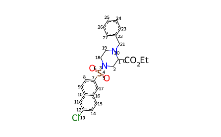 CCOC(=O)C1CN(S(=O)(=O)c2ccc3cc(Cl)ccc3c2)CCN1Cc1ccccc1